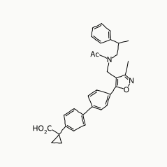 CC(=O)N(Cc1c(C)noc1-c1ccc(-c2ccc(C3(C(=O)O)CC3)cc2)cc1)CC(C)c1ccccc1